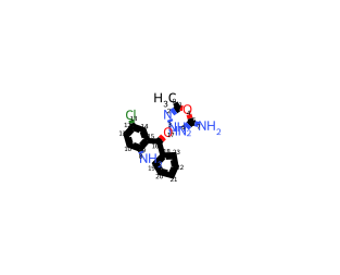 CC(=NN)OC(=N)N.Nc1ccc(Cl)cc1C(=O)c1ccccc1